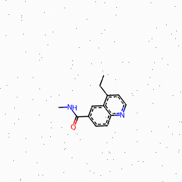 CCc1ccnc2ccc(C(=O)NC)cc12